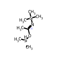 C/C(=N\[Si](C)(C)C)O[SiH](C)C